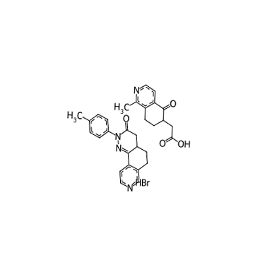 Br.Cc1ccc(N2N=C3c4ccncc4CCC3CC2=O)cc1.Cc1nccc2c1CCC(CC(=O)O)C2=O